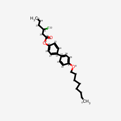 CCCCCCCCOc1ccc(-c2ccc(OC(=O)CC(F)CCC)cc2)cc1